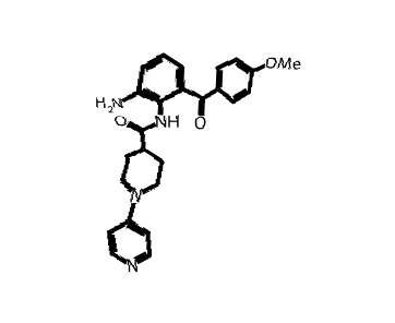 COc1ccc(C(=O)c2cccc(N)c2NC(=O)C2CCN(c3ccncc3)CC2)cc1